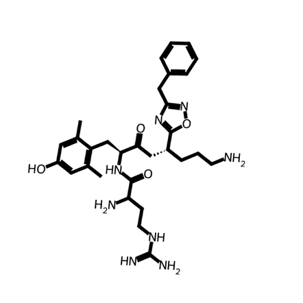 Cc1cc(O)cc(C)c1C[C@H](NC(=O)C(N)CCNC(=N)N)C(=O)C[C@@H](CCCN)c1nc(Cc2ccccc2)no1